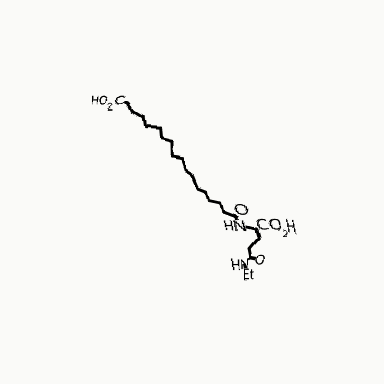 CCNC(=O)CCC(NC(=O)CCCCCCCCCCCCCCCCC(=O)O)C(=O)O